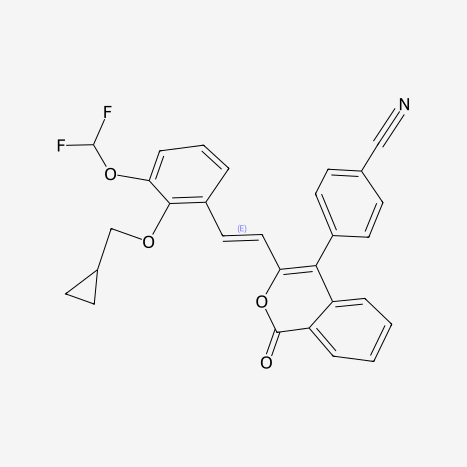 N#Cc1ccc(-c2c(/C=C/c3cccc(OC(F)F)c3OCC3CC3)oc(=O)c3ccccc23)cc1